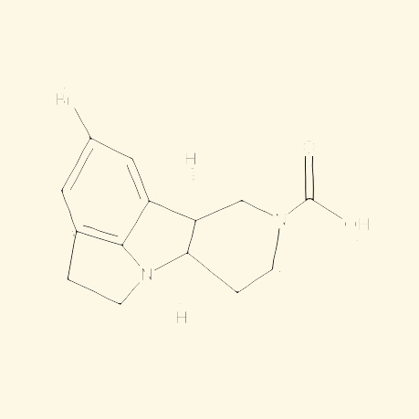 O=C(O)N1CC[C@@H]2[C@H](C1)c1cc(Br)cc3c1N2CC3